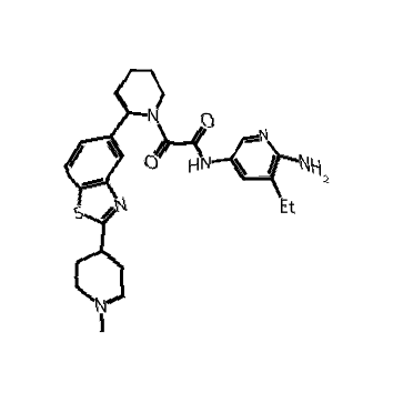 CCc1cc(NC(=O)C(=O)N2CCCCC2c2ccc3sc(C4CCN(C)CC4)nc3c2)cnc1N